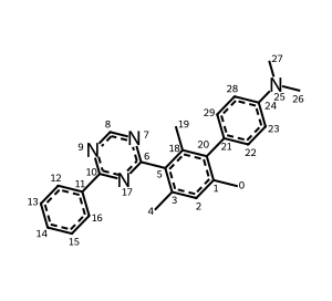 Cc1cc(C)c(-c2ncnc(-c3ccccc3)n2)c(C)c1-c1ccc(N(C)C)cc1